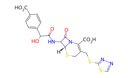 O=C(O)C1=C(CSc2nncs2)CS[C@@H]2C(NC(=O)C(O)c3ccc(C(=O)O)cc3)C(=O)N12